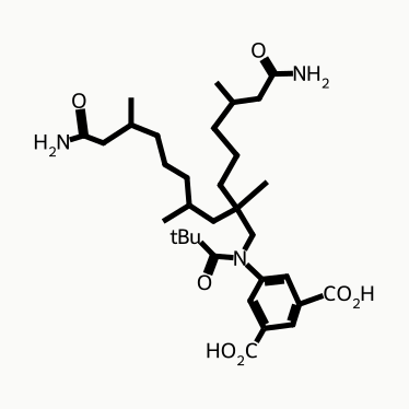 CC(CCCC(C)CC(C)(CCCC(C)CC(N)=O)CN(C(=O)C(C)(C)C)c1cc(C(=O)O)cc(C(=O)O)c1)CC(N)=O